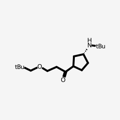 CC(C)(C)COCCC(=O)C1CC[C@@H](NC(C)(C)C)C1